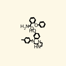 Cc1ccc(N(CC2=NCCN2)c2cccc(O)c2)cc1.NC(=O)c1ccccc1Oc1ccccc1